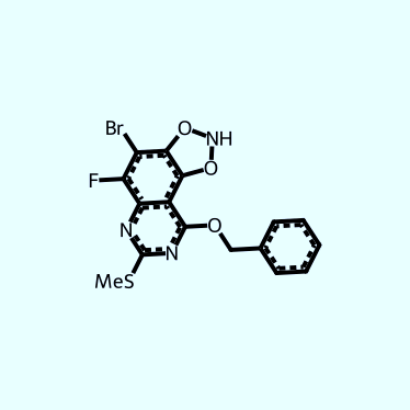 CSc1nc(OCc2ccccc2)c2c3c(c(Br)c(F)c2n1)ONO3